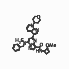 CO[C@H]1CCC1NC(=O)c1cnn2c(N(C)Cc3ccccc3)cc(-c3cnc4n(C5CCOCC5)cccc3-4)nc12